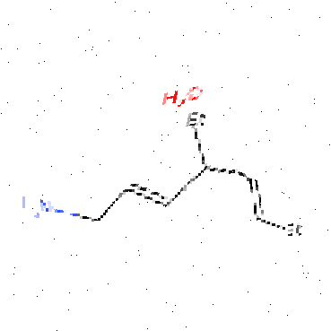 CCC=CC(C=CCN)CC.O